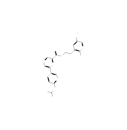 COc1cnc(F)c(CCNC(=O)c2cncc(-c3ccc(OC(F)F)nc3)n2)c1